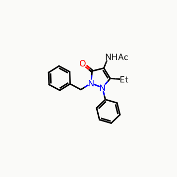 CCc1c(NC(C)=O)c(=O)n(Cc2ccccc2)n1-c1ccccc1